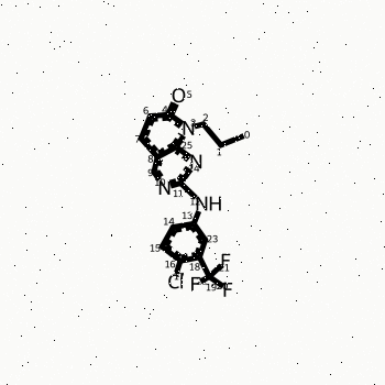 CCCn1c(=O)ccc2cnc(Nc3ccc(Cl)c(C(F)(F)F)c3)nc21